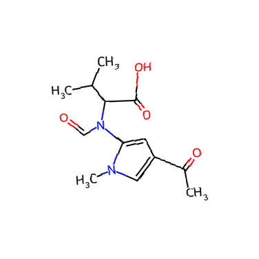 CC(=O)c1cc(N(C=O)C(C(=O)O)C(C)C)n(C)c1